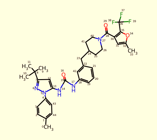 Cc1ccc(-n2nc(C(C)(C)C)cc2NC(=O)Nc2cccc(CC3CCN(C(=O)c4cc(C)oc4C(F)(F)F)CC3)c2)cc1